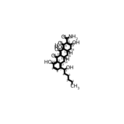 CCCCCC(O)c1ccc(O)c2c1C[C@H]1C[C@H]3CC(O)=C(C(N)=O)C(=O)[C@@]3(O)C(O)=C1C2=O